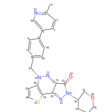 Cc1ccc(-c2ccc(Cn3nc4c(=O)n(C5CCCOC5)nc-4c4sccc43)cc2)cn1